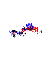 Cc1c(-c2ccc(-c3ccc4cccc(C(=O)Nc5nc6ccccc6s5)c4c3)nc2C(=O)O)cnn1CC12CC3(C)CC(C)(C1)CC(OCCN(CCS(=O)(=O)O)C(=O)OC/C=C/c1ccc(O[C@@H]4O[C@H](C(=O)O)[C@@H](O)[C@H](O)[C@H]4O)c(NC(=O)CCN)c1)(C3)C2